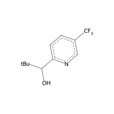 CC(C)(C)C(O)c1ccc(C(F)(F)F)cn1